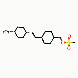 CCC[C@H]1CC[C@H](CCC2CCC(COS(C)(=O)=O)CC2)CC1